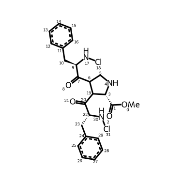 COC(=O)[C@H]1NCC(C(=O)[C@@H](Cc2ccccc2)NCl)C1C(=O)[C@@H](Cc1ccccc1)NCl